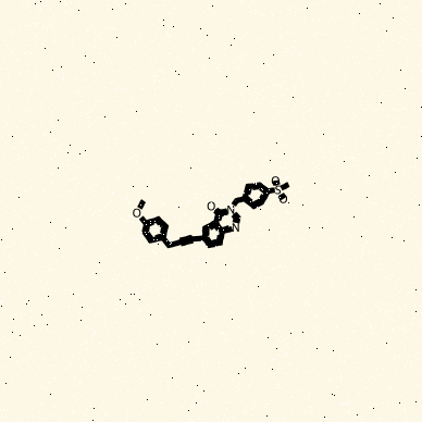 COc1ccc(CC#Cc2ccc3ncn(Cc4ccc(S(C)(=O)=O)cc4)c(=O)c3c2)cc1